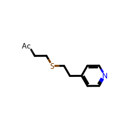 CC(=O)CCSCCc1ccncc1